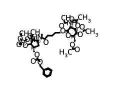 CO[C@H]1C(OP(=O)(O)OC)[C@@H](COC(=O)OCc2ccccc2)C[C@H]1NC(=O)CCCCO[C@@H]1O[C@H](COC(C)=O)[C@H](OC(C)=O)[C@H](OC(C)=O)[C@H]1NC(C)=O